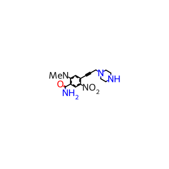 CNc1cc(C#CCN2CCNCC2)c([N+](=O)[O-])cc1C(N)=O